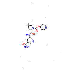 C=NCC(CC1CCNC1=O)NC(=O)C1CC2(CCC2)CN1C(=O)OC1CCN(C)CC1